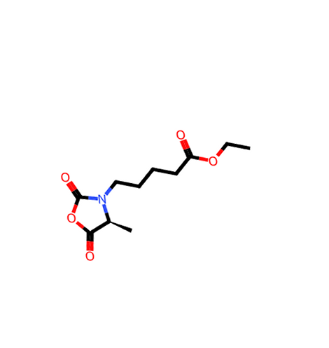 CCOC(=O)CCCCN1C(=O)OC(=O)[C@@H]1C